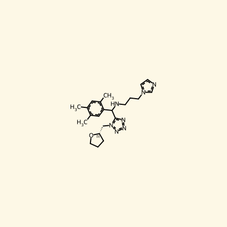 Cc1cc(C)c(C(NCCCn2ccnc2)c2nnnn2C[C@@H]2CCCO2)cc1C